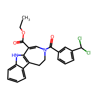 CCOC(=O)C1=CN(C(=O)c2cccc(C(Cl)Cl)c2)CCc2c1[nH]c1ccccc21